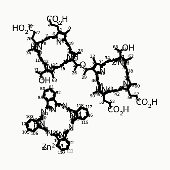 CC1=C(CCC(=O)O)c2cc3[nH]c(cc4nc(cc5[nH]c(cc1n2)c(C)c5C(C)OC(C)C1=C(C)c2cc5[nH]c(cc6nc(cc7[nH]c(cc1n2)c(C)c7CCC(=O)O)C(CCC(=O)O)=C6C)c(C)c5C(C)O)C(C)=C4C(C)O)c(C)c3CCC(=O)O.[Zn+2].c1ccc2c(c1)-c1nc-2nc2[nH]c(nc3nc(nc4[nH]c(n1)c1ccccc41)-c1ccccc1-3)c1ccccc21